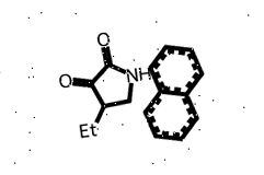 CCC1CNC(=O)C1=O.c1ccc2ccccc2c1